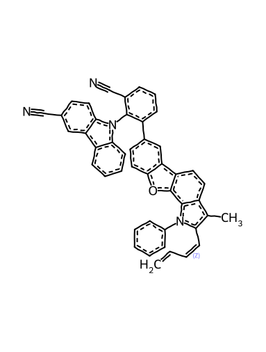 C=C/C=C\c1c(C)c2ccc3c4cc(-c5cccc(C#N)c5-n5c6ccccc6c6cc(C#N)ccc65)ccc4oc3c2n1-c1ccccc1